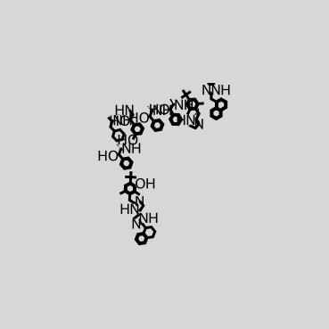 CNC(C)CC1CCCCC1.CNC[C@H](O)c1cccc(O)c1.CN[C@@H](C)[C@@H](O)c1ccccc1.CN[C@@H](C)[C@H](O)c1ccccc1.C[C@@H](N)[C@@H](O)c1ccccc1.Cc1cc(C(C)(C)C)c(O)c(C)c1CC1=NCCN1.Cc1cc(C(C)(C)C)cc(C)c1CC1=NCCN1.c1ccc2c(CC3=NCCN3)cccc2c1.c1ccc2c(c1)CCCC2C1=NCCN1